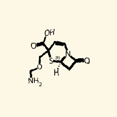 NCOCC1(C(=O)O)C=CN2C(=O)C[C@H]2S1